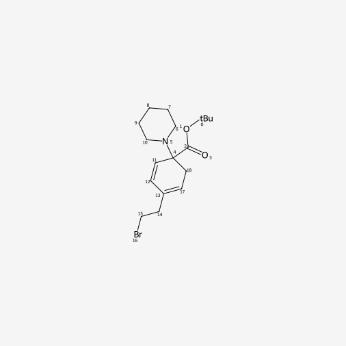 CC(C)(C)OC(=O)C1(N2CCCCC2)C=CC(CCBr)=CC1